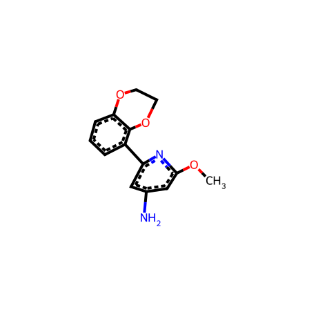 COc1cc(N)cc(-c2cccc3c2OCCO3)n1